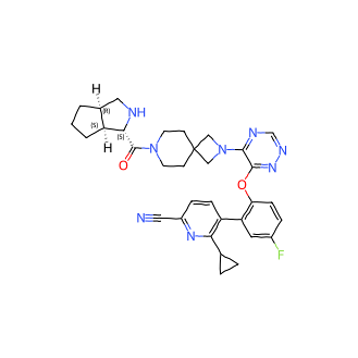 N#Cc1ccc(-c2cc(F)ccc2Oc2nncnc2N2CC3(CCN(C(=O)[C@H]4NC[C@@H]5CCC[C@@H]54)CC3)C2)c(C2CC2)n1